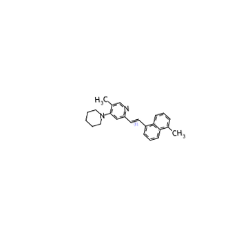 Cc1cnc(/C=C/c2cccc3c(C)cccc23)cc1N1CCCCC1